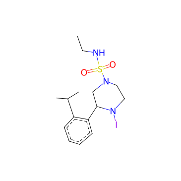 CCNS(=O)(=O)N1CCN(I)C(c2ccccc2C(C)C)C1